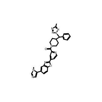 Cc1nnn(C(c2ccccc2)C2CCN(C(=O)c3cc(-c4nc5cc(-c6cncn6C)ccc5o4)ccn3)CC2)n1